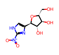 O=[N+]([O-])c1nc([C@H]2O[C@H](CO)[C@@H](O)[C@@H]2O)c[nH]1